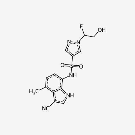 Cc1ccc(NS(=O)(=O)c2cnn(C(F)CO)c2)c2[nH]cc(C#N)c12